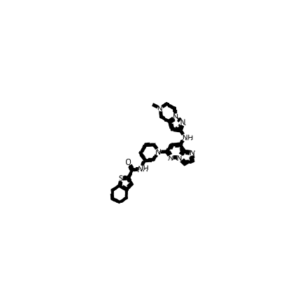 CN1CCn2nc(Nc3cc(N4CCCC(NC(=O)c5cc6c(s5)CCCC6)C4)nn4ccnc34)cc2C1